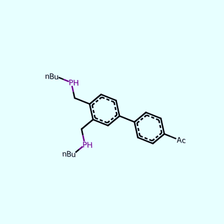 CCCCPCc1ccc(-c2ccc(C(C)=O)cc2)cc1CPCCCC